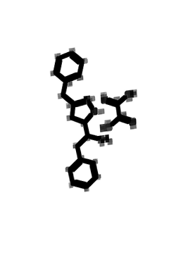 NC(Cc1ccccc1)C1CC(Cc2ccccc2)=NO1.O=C(O)C(=O)O